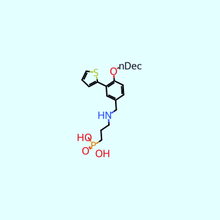 CCCCCCCCCCOc1ccc(CNCCCP(=O)(O)O)cc1-c1cccs1